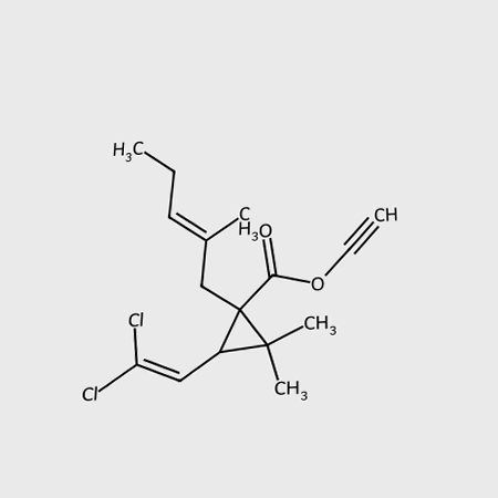 C#COC(=O)C1(CC(C)=CCC)C(C=C(Cl)Cl)C1(C)C